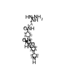 N=C(N)NCCCNC(=O)[C@H]1CC[C@H](n2cc3c(nc2=O)Nc2cc(C4CCNCC4)ccc2O3)CC1